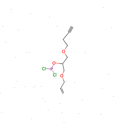 C#CCCOCC(COCC=C)OP(Cl)Cl